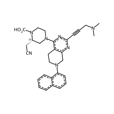 CN(C)CC#Cc1nc2c(c(N3CCN(C(=O)O)[C@@H](CC#N)C3)n1)CCN(c1cccc3ccccc13)C2